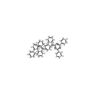 c1ccc(-c2nc(-c3ccccc3)nc(-n3c4ccccc4c4c5c6ccccc6n(-c6cccc(-c7ccccc7)c6-c6ccccc6)c5ccc43)n2)cc1